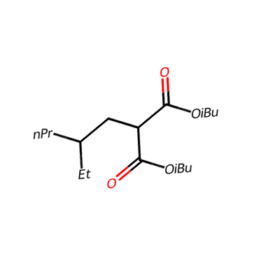 CCCC(CC)CC(C(=O)OCC(C)C)C(=O)OCC(C)C